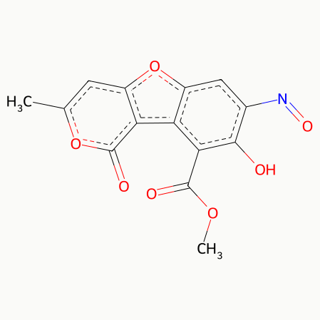 COC(=O)c1c(O)c(N=O)cc2oc3cc(C)oc(=O)c3c12